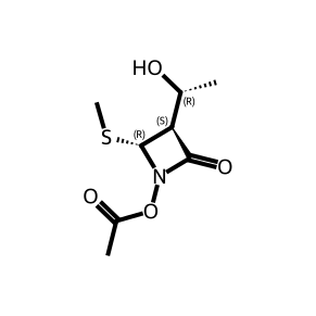 CS[C@@H]1[C@@H]([C@@H](C)O)C(=O)N1OC(C)=O